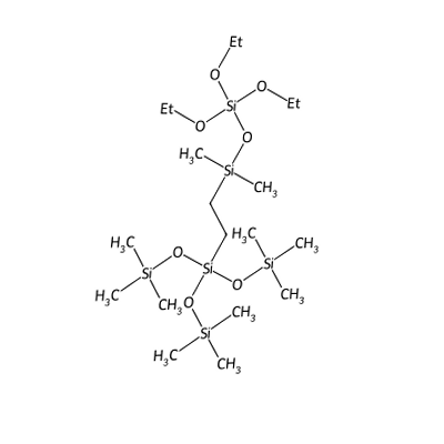 CCO[Si](OCC)(OCC)O[Si](C)(C)CC[Si](O[Si](C)(C)C)(O[Si](C)(C)C)O[Si](C)(C)C